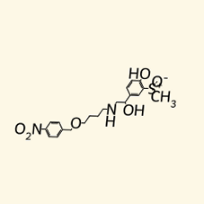 C[S+]([O-])c1cc(C(O)CNCCCCOCc2ccc([N+](=O)[O-])cc2)ccc1O